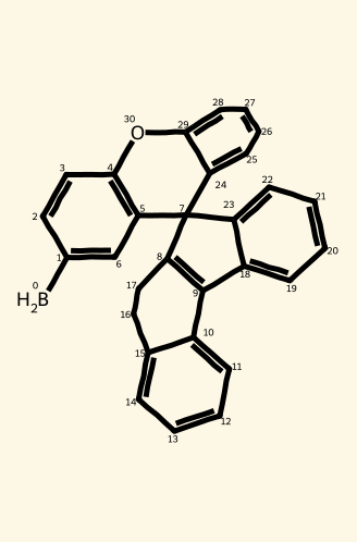 Bc1ccc2c(c1)C1(C3=C(c4ccccc4CC3)c3ccccc31)c1ccccc1O2